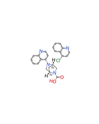 Clc1ccnc2ccccc12.O=C(O)N1C[C@@H]2C[C@H]1CN2c1ccnc2ccccc12